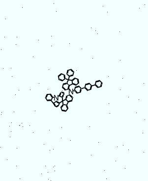 c1ccc(-c2ccc(-c3ccc(N(c4ccc5c(c4)C4(c6ccccc6-5)c5ccccc5-n5c6ccccc6c6cccc4c65)c4cccc5c4-c4ccccc4C5(c4ccccc4)c4ccccc4)cc3)cc2)cc1